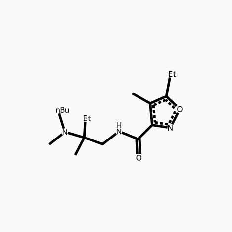 CCCCN(C)C(C)(CC)CNC(=O)c1noc(CC)c1C